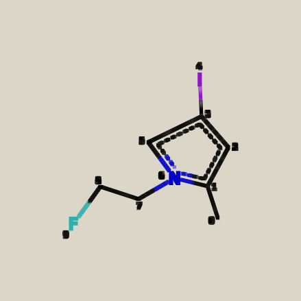 Cc1cc(I)cn1CCF